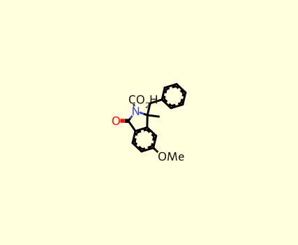 COc1ccc2c(c1)C(C)(Cc1ccccc1)N(C(=O)O)C2=O